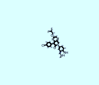 CN/C=C1/C=C(n2cc3ncc(OCC(F)F)nc3c(-c3ccc(Cl)cc3)c2=O)C=CC1=N